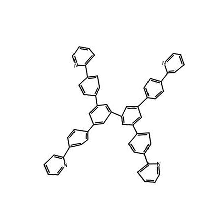 c1ccc(-c2ccc(-c3cc(-c4ccc(-c5ccccn5)cc4)cc(-c4cc(-c5ccc(-c6ccccn6)cc5)cc(-c5ccc(-c6ccccn6)cc5)c4)c3)cc2)nc1